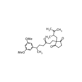 COc1cc(OC)cc(C(C)CCC(=O)CCC2(CC(C)N(C)C)C(=O)CCC2=O)c1